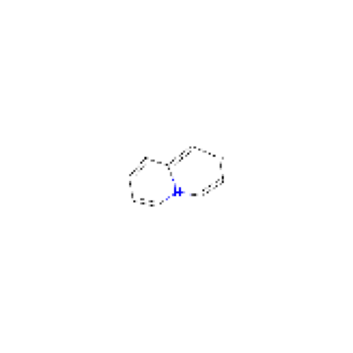 [CH]1C=CN2C=CC=CC2=C1